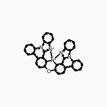 c1ccc2c(c1)c1ccc3c4c1c1n2c2ccccc2[n+]1[N+]41c2c(ccc4c5ccccc5n5c6ccccc6[n+]1c5c24)O3